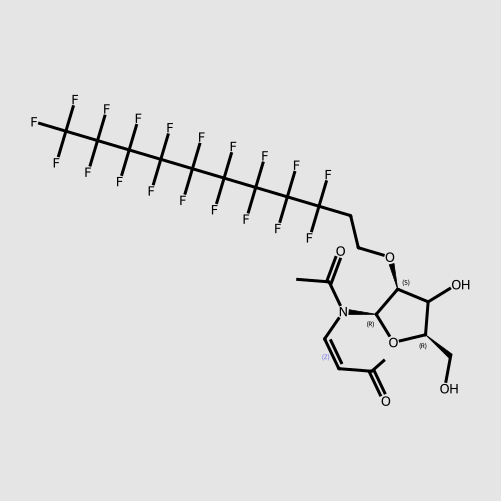 CC(=O)/C=C\N(C(C)=O)[C@@H]1O[C@H](CO)C(O)[C@@H]1OCCC(F)(F)C(F)(F)C(F)(F)C(F)(F)C(F)(F)C(F)(F)C(F)(F)C(F)(F)C(F)(F)F